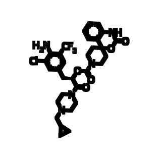 Nc1c(Cl)cc(C[C@@H](OC(=O)N2CCC3(CC2)OC(=O)Nc2ccccc23)C(=O)N2CCN(CC3CC3)CC2)cc1C(F)(F)F